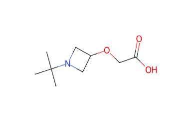 CC(C)(C)N1CC(OCC(=O)O)C1